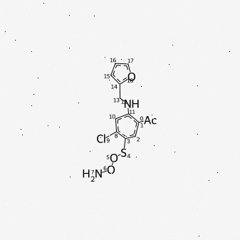 CC(=O)c1cc(SOON)c(Cl)cc1NCc1ccco1